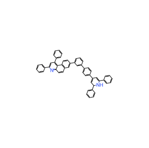 C1=C(c2ccc(-c3cccc(-c4ccc5c(ccc6nc(-c7ccccc7)cc(-c7ccccc7)c65)c4)c3)cc2)C=C(c2ccccc2)NC1c1ccccc1